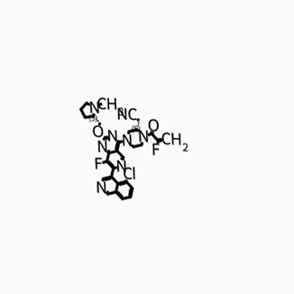 C=C(F)C(=O)N1CCN(c2nc(OC[C@@H]3CCCN3C)nc3c(F)c(-c4cncc5cccc(Cl)c45)ncc23)C[C@@H]1CC#N